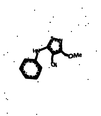 COc1nsc(Nc2ccccc2)c1C#N